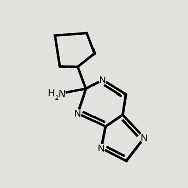 NC1(C2CCCC2)N=CC2=NC=NC2=N1